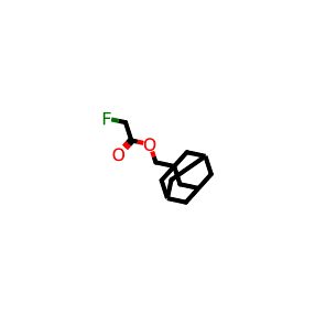 O=C(CF)OCC12CC3CC(CC(C3)C1)C2